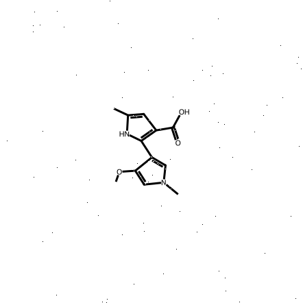 COc1cn(C)cc1-c1[nH]c(C)cc1C(=O)O